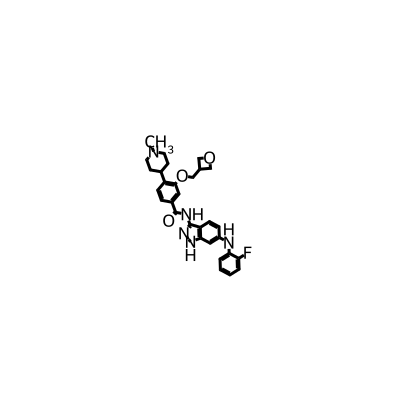 CN1CCC(c2ccc(C(=O)Nc3n[nH]c4cc(Nc5ccccc5F)ccc34)cc2OCC2COC2)CC1